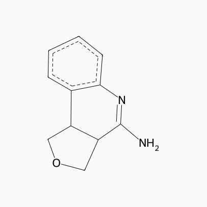 NC1=Nc2ccccc2C2COCC12